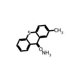 Cc1ccc2sc3ccccc3c(=O)c2c1.N